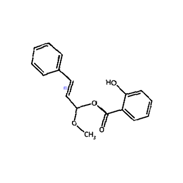 COC(/C=C/c1ccccc1)OC(=O)c1ccccc1O